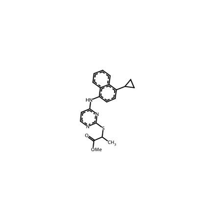 COC(=O)C(C)Sc1nccc(Nc2ccc(C3CC3)c3ccccc23)n1